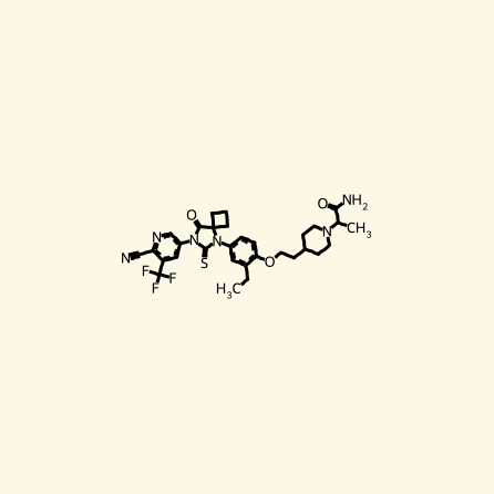 CCc1cc(N2C(=S)N(c3cnc(C#N)c(C(F)(F)F)c3)C(=O)C23CCC3)ccc1OCCC1CCN(C(C)C(N)=O)CC1